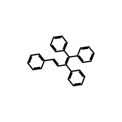 C(=Cc1ccccc1)C(=C(c1ccccc1)c1ccccc1)c1ccccc1